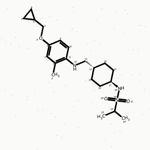 Cc1cc(OCC2CC2)ccc1NC[C@H]1CC[C@H](NS(=O)(=O)C(C)C)CC1